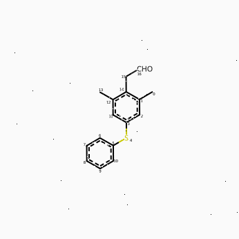 Cc1cc(Sc2ccccc2)cc(C)c1CC=O